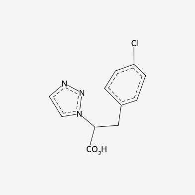 O=C(O)C(Cc1ccc(Cl)cc1)n1ccnn1